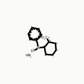 Br.CCN(c1ccccc1)C1CCCCC1C(=O)O